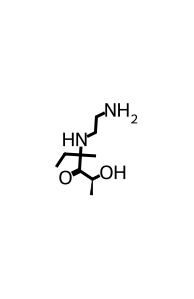 CCC(C)(NCCN)C(=O)[C@H](C)O